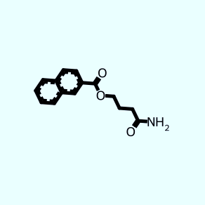 NC(=O)CCCOC(=O)c1ccc2ccccc2c1